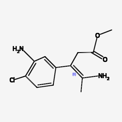 COC(=O)C/C(=C(/C)N)c1ccc(Cl)c(N)c1